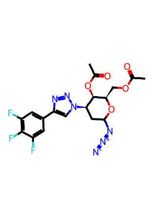 CC(=O)OC[C@H]1OC(N=[N+]=[N-])C[C@@H](n2cc(-c3cc(F)c(F)c(F)c3)nn2)[C@H]1OC(C)=O